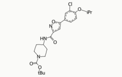 CC(C)Oc1ccc(-c2cc(C(=O)NC3CCN(C(=O)OC(C)(C)C)CC3)no2)cc1Cl